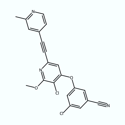 COc1nc(C#Cc2ccnc(C)c2)cc(Oc2cc(Cl)cc(C#N)c2)c1Cl